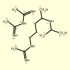 CC(NC(CCCNC(=N)N)C(=O)O)C(=O)O.N=C(N)NC(=N)N